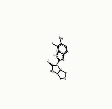 Cc1c(O)ccc2sc(N3C(=O)NC4COCC43)nc12